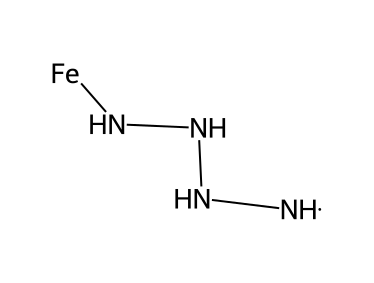 [NH]NN[NH][Fe]